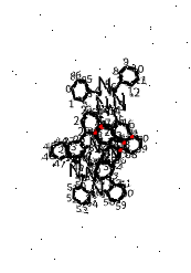 c1ccc(-c2nc(-c3ccccc3)nc(-c3ccccc3-c3cccc4c5ccccc5n(-c5ccccc5-c5nc(-c6ccccc6)nc(-c6ccccc6-n6c7ccccc7c7cc(-n8c9ccccc9c9ccccc98)ccc76)n5)c34)n2)cc1